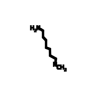 C=NCCCCCCCN